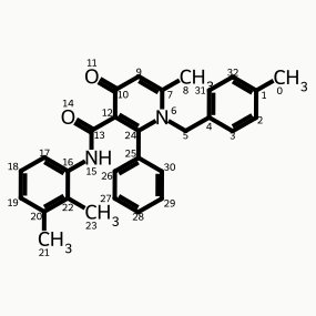 Cc1ccc(Cn2c(C)cc(=O)c(C(=O)Nc3cccc(C)c3C)c2-c2ccccc2)cc1